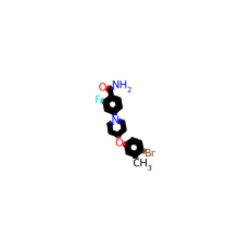 Cc1cc(OC2CCN(c3ccc(C(N)=O)c(F)c3)CC2)ccc1Br